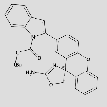 CC(C)(C)OC(=O)n1c(-c2ccc3c(c2)[C@@]2(COC(N)=N2)c2ccccc2O3)cc2ccccc21